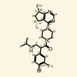 CC(C)NCC(C(=O)N1CCN(c2ncnc3c2[C@H](C)C[C@H]3F)CC1)c1ccc(Br)c(F)c1